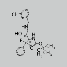 CC(C)(C)OC(=O)N[C@H]([C@H](O)CNCc1cccc(Cl)c1)C(F)(F)c1ccccc1